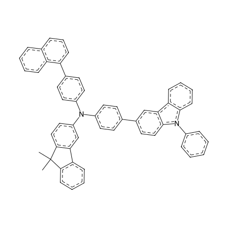 CC1(C)c2ccccc2-c2cc(N(c3ccc(-c4ccc5c(c4)c4ccccc4n5-c4ccccc4)cc3)c3ccc(-c4cccc5ccccc45)cc3)ccc21